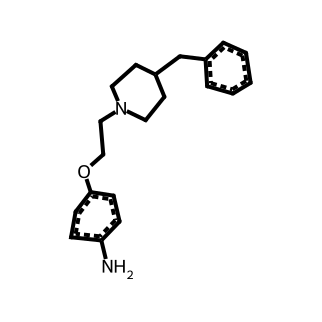 Nc1ccc(OCCN2CCC(Cc3ccccc3)CC2)cc1